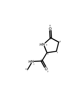 [CH2]NC(=O)C1CCC(=O)N1